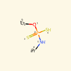 CCOP(=S)(S)NC(C)C